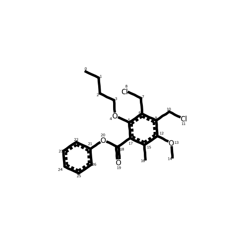 CCCCOc1c(CCl)c(CCl)c(OC)c(C)c1C(=O)Oc1ccccc1